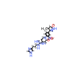 CC1CC(=O)NN=C1c1ccc(N2CCC(NC(=N)NCCCc3c[nH]cn3)CC2)c([N+](=O)[O-])c1